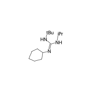 CC(C)N/C(=N/C1CCCCC1)NC(C)(C)C